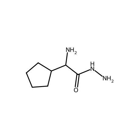 NNC(=O)C(N)C1CCCC1